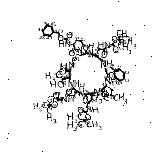 CC(C)C[C@@H]1NC(=O)[C@@H](Cc2ccccc2)NC(=O)[C@H](CCNC(=O)OC(C)(C)C)NC(=O)[C@@H](N2CCC[C@H](NC(=O)OCc3ccccc3)C2=O)CCNC(=O)[C@H]([C@@H](C)O)NC(=O)C(CCNC(=O)OC(C)(C)C)NC(=O)C(CCNC(=O)OC(C)(C)C)NC1=O